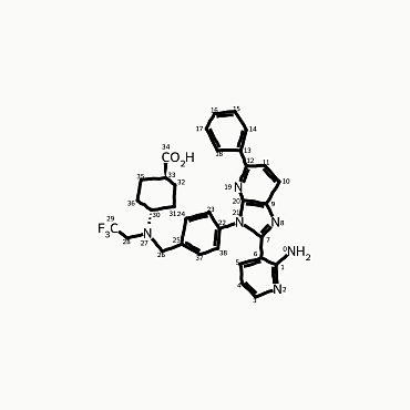 Nc1ncccc1-c1nc2ccc(-c3ccccc3)nc2n1-c1ccc(CN(CC(F)(F)F)[C@H]2CC[C@H](C(=O)O)CC2)cc1